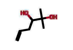 C=CCC(O)C(C)(C)O